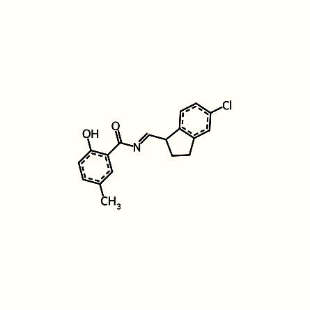 Cc1ccc(O)c(C(=O)/N=C/C2CCc3cc(Cl)ccc32)c1